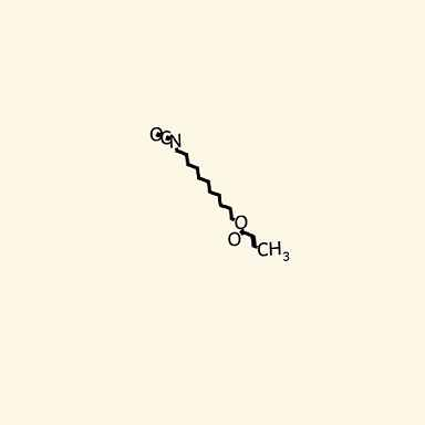 CC=CC(=O)OCCCCCCCCCCCN=C=O